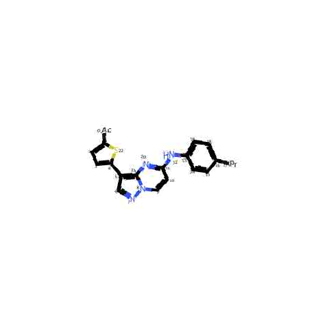 CC(=O)c1ccc(-c2cnn3ccc(Nc4ccc(C(C)C)cc4)nc23)s1